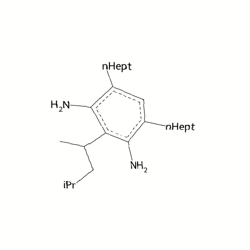 CCCCCCCc1cc(CCCCCCC)c(N)c(C(C)CC(C)C)c1N